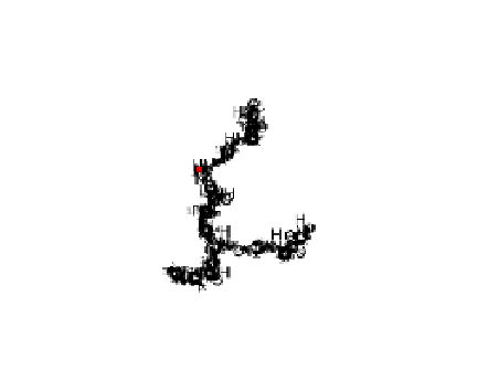 CC1(C)CCN(Cc2cc(F)c(N3CC(=O)NC4(CCN(c5cc(NCCOCCN6CCN(CCNc7cccc8c7CN(C7CCC(=O)NC7=O)C8=O)CC6)nc(CC6(C)CCN(Cc7cc(F)c(N8CC(=O)NC9(CCN(c%10cc(NCCCN%11CCN(CCNc%12cccc%13c%12CN(C%12CCC(=O)NC%12=O)C%13=O)CC%11)ncn%10)CC9)C8)cc7F)CC6)n5)CC4)C3)cc2F)CC1